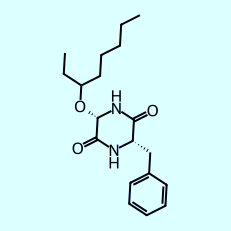 CCCCCC(CC)O[C@@H]1NC(=O)[C@H](Cc2ccccc2)NC1=O